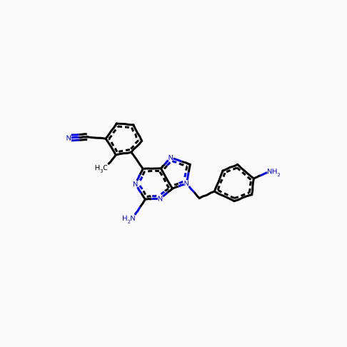 Cc1c(C#N)cccc1-c1nc(N)nc2c1ncn2Cc1ccc(N)cc1